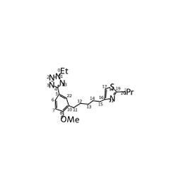 CCn1nnc(-c2ccc(OC)c(CCCCCc3csc(C(C)C)n3)c2)n1